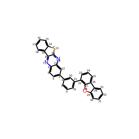 c1cc(-c2ccc3nc4c(nc3c2)sc2ccccc24)cc(-c2cccc3c2oc2ccccc23)c1